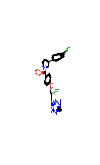 O=C(c1ccc(OC[C@H](F)Cn2ncnn2)cc1)N1CC[C@H](c2ccc(F)cc2)C1